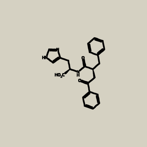 O=C(C[C@H](Cc1ccccc1)C(=O)N[C@H](Cc1c[nH]cn1)C(=O)O)c1ccccc1